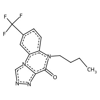 CCCCn1c(=O)c2nncn2c2cc(C(F)(F)F)ccc21